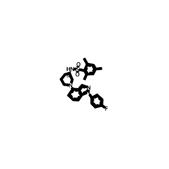 Cc1cc(C)c(S(=O)(=O)N[C@H]2CCCN(c3cccc4c3cnn4-c3ccc(F)cc3)C2)c(C)c1